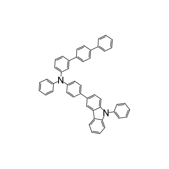 c1ccc(-c2ccc(-c3cccc(N(c4ccccc4)c4ccc(-c5ccc6c(c5)c5ccccc5n6-c5ccccc5)cc4)c3)cc2)cc1